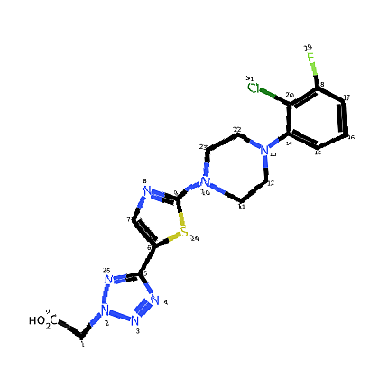 O=C(O)Cn1nnc(-c2cnc(N3CCN(c4cccc(F)c4Cl)CC3)s2)n1